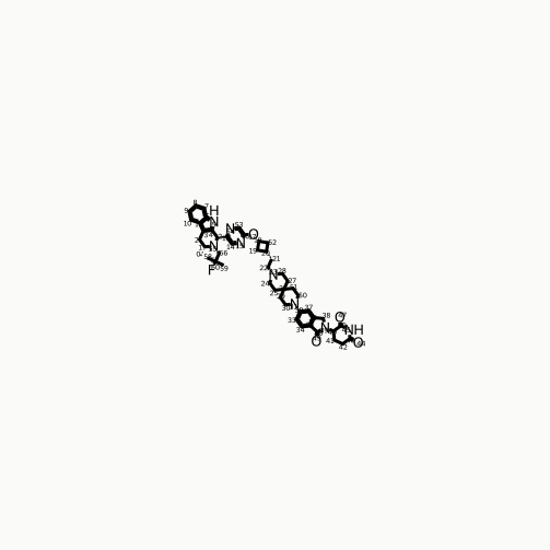 C[C@@H]1Cc2c([nH]c3ccccc23)[C@@H](c2cnc(O[C@H]3C[C@@H](CCN4CCC5(CC4)CCN(c4ccc6c(c4)CN(C4CCC(=O)NC4=O)C6=O)CC5)C3)cn2)N1CC(C)(C)F